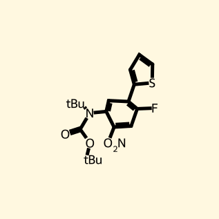 CC(C)(C)OC(=O)N(c1cc(-c2cccs2)c(F)cc1[N+](=O)[O-])C(C)(C)C